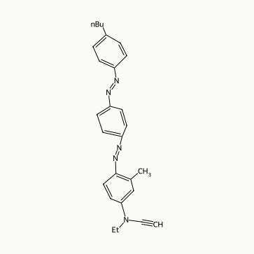 C#CN(CC)c1ccc(N=Nc2ccc(N=Nc3ccc(CCCC)cc3)cc2)c(C)c1